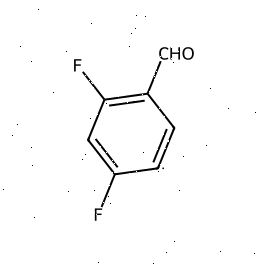 O=Cc1c[c]c(F)cc1F